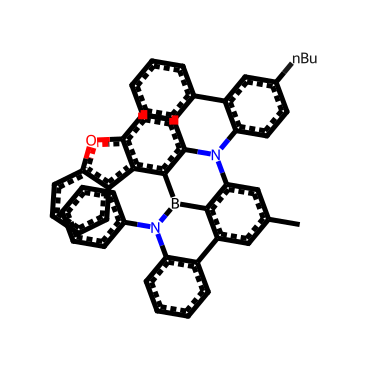 CCCCc1ccc(N2c3cc(C)cc4c3B(c3c2ccc2oc5ccccc5c32)N(c2ccccc2)c2ccccc2-4)c(-c2ccccc2)c1